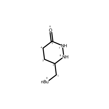 CCCCCC1CCC(=O)NN1